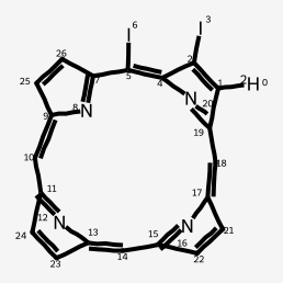 [2H]C1=C(I)C2=C(I)C3=NC(=CC4=NC(=CC5=NC(=CC1=N2)C=C5)C=C4)C=C3